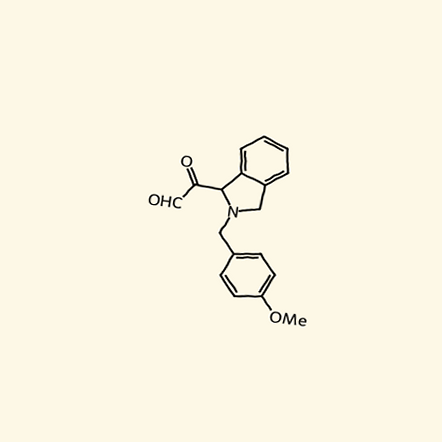 COc1ccc(CN2Cc3ccccc3C2C(=O)C=O)cc1